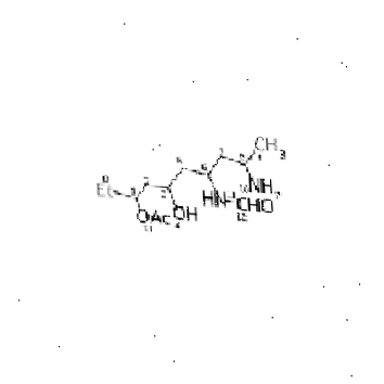 CCC(CC(O)CC(CC(C)N)NC=O)OC(C)=O